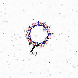 C=C1C(=O)N(C)[C@@H](CC(C)C)C(=O)N[C@@H](C(C)C)C(=O)N(C)[C@@H](CC(C)C)C(=O)N[C@@H](C)C(=O)N[C@H](C)C(=O)N(C)[C@@H](CC(C)C)C(=O)N(C)[C@@H](CC(C)C)C(=O)N(C)[C@@H](C(C)C)C(=O)N(C)[C@@H]([C@H](O)[C@H](C)C/C=C/CCCC(=O)O)C(=O)N[C@@H](CC)C(=O)N1C